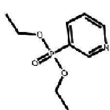 CCOP(=O)(OCC)c1cccnc1